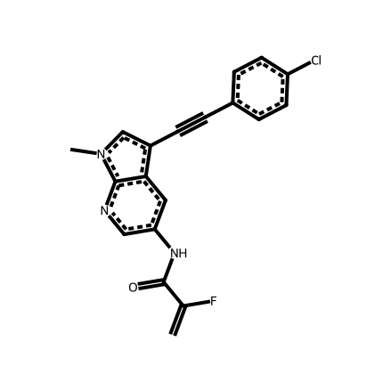 C=C(F)C(=O)Nc1cnc2c(c1)c(C#Cc1ccc(Cl)cc1)cn2C